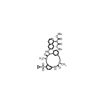 CN1CCc2cccc(c2)C(Nc2ccc3c(N(C(=O)OC(C)(C)C)C(=O)OC(C)(C)C)nccc3c2)C(=O)N(C)Cc2cc(ccc2S(=O)(=O)C2CC2)NC1=O